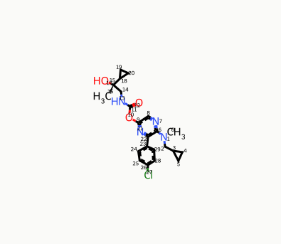 CN(CC1CC1)c1ncc(OC(=O)NC[C@](C)(O)C2CC2)nc1-c1ccc(Cl)cc1